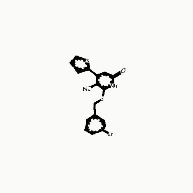 CCc1cccc(CSc2[nH]c(=O)cc(-c3cccs3)c2C#N)c1